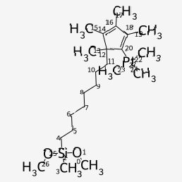 CO[Si](C)(CCCCCCCCC1(C)C(C)=C(C)C(C)=[C]1[Pt]([CH3])([CH3])[CH3])OC